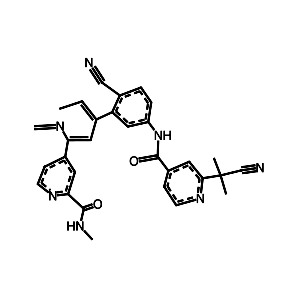 C=N/C(=C\C(=C/C)c1cc(NC(=O)c2ccnc(C(C)(C)C#N)c2)ccc1C#N)c1ccnc(C(=O)NC)c1